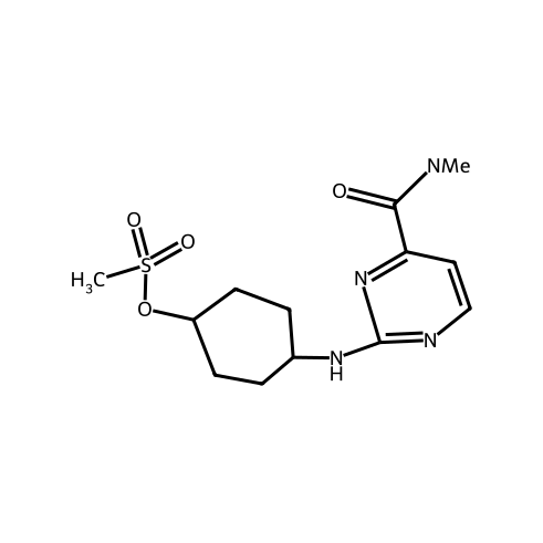 CNC(=O)c1ccnc(NC2CCC(OS(C)(=O)=O)CC2)n1